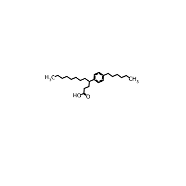 CCCCCCCCC(CCC(=O)O)c1ccc(CCCCCC)cc1